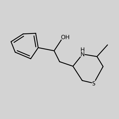 CC1CSCC(CC(O)c2ccccc2)N1